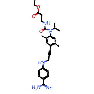 CCOC(=O)CCNC(=O)N(c1cc(C)c(C#CCNc2ccc(C(=N)N)cc2)cc1C)C(C)C